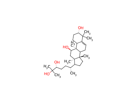 C[C@H](CC[C@@H](O)C(C)(C)O)C1CC[C@@]2(C)C3CC=C4C(CC[C@H](O)C4(C)C)[C@]3(C)[C@H](O)C[C@]12C